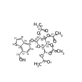 CC(=O)OC[C@H]1O[C@@H](Oc2ccc(CO)c3sccc23)[C@H](OC(C)=O)[C@@H](OC(C)=O)[C@H]1OC(C)=O